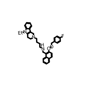 CCn1c2c(c3ccccc31)CN(CCCCNCc1c(OOCc3ccc(F)cc3)ccc3ccccc13)CC2